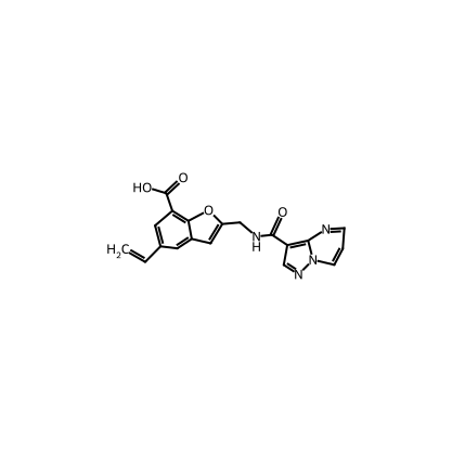 C=Cc1cc(C(=O)O)c2oc(CNC(=O)c3cnn4cccnc34)cc2c1